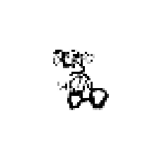 CC(O)(CN(Cc1ccco1)S(C)(=O)=O)Cn1c2ccccc2c2ccccc21